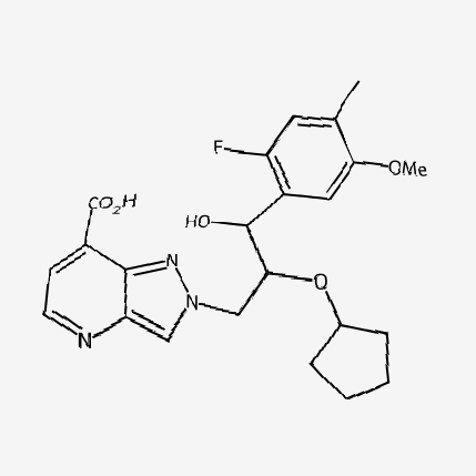 COc1cc(C(O)C(Cn2cc3nccc(C(=O)O)c3n2)OC2CCCC2)c(F)cc1C